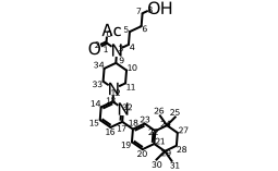 CC(=O)C(=O)N(CCCCO)C1CCN(c2cccc(-c3ccc4c(c3)C(C)(C)CCC4(C)C)n2)CC1